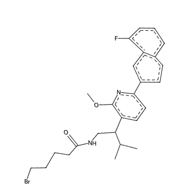 COc1nc(-c2ccc3cccc(F)c3c2)ccc1C(CNC(=O)CCCCBr)C(C)C